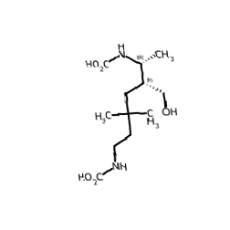 C[C@@H](NC(=O)O)[C@H](CO)CC(C)(C)CCNC(=O)O